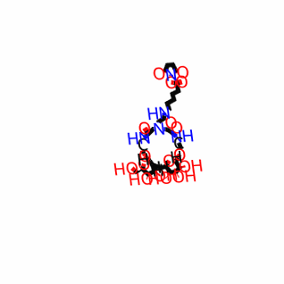 O=C(CN1CC(=O)NCCO[C@@H]2O[C@@H](C[C@H]3[C@H](OCCNC(=O)C1)O[C@H](CO)[C@@H](O)[C@@H]3O)[C@@H](O)[C@@H](O)[C@@H]2O)NCCCCCC(=O)ON1C(=O)CCC1=O